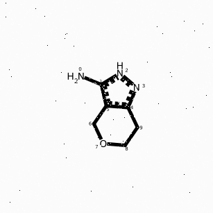 Nc1[nH]nc2c1COCC2